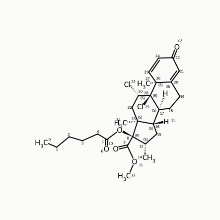 CCCCCC(=O)O[C@]1(C(=O)OC)[C@@H](C)C[C@H]2[C@@H]3CCC4=CC(=O)C=C[C@]4(C)[C@@]3(Cl)[C@@H](Cl)C[C@@]21C